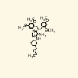 COc1ccc(CN(Cc2ccc(OC)cc2OC)c2ncnc(NC3CCCC(COSC)C3)c2N)c(OC)c1